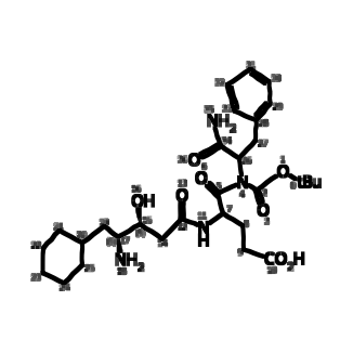 CC(C)(C)OC(=O)N(C(=O)C(CCC(=O)O)NC(=O)C[C@H](O)[C@@H](N)CC1CCCCC1)C(Cc1ccccc1)C(N)=O